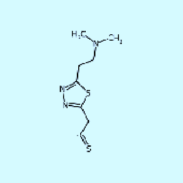 CN(C)CCc1nnc(C[C]=S)s1